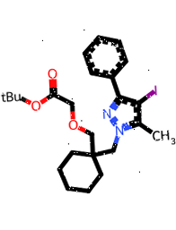 Cc1c(I)c(-c2ccccc2)nn1CC1(COCC(=O)OC(C)(C)C)CCCCC1